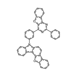 c1ccc(-c2nc(-c3cccc(-n4c5ccccc5c5c6oc7ccccc7c6ccc54)c3)c3oc4ccccc4c3n2)cc1